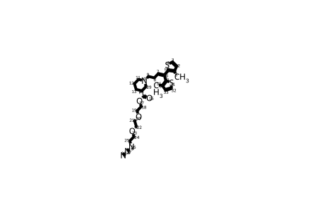 Cc1ccsc1C(=CCCN1CCC[C@@H](C(=O)OCCOCCOCCN=[N+]=[N-])C1)c1sccc1C